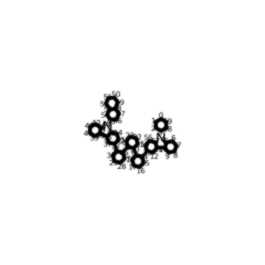 c1ccc(-n2c3ccccc3c3cc(-c4ccccc4-c4ccccc4-c4ccccc4-c4ccc5c(c4)c4ccccc4n5-c4ccc5ccccc5c4)ccc32)cc1